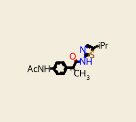 CC(=O)Nc1ccc([C@@H](C)C(=O)Nc2ncc(C(C)C)s2)cc1